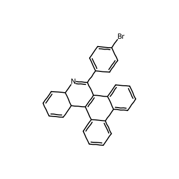 Brc1ccc(C2=NC3C=CC=CC3c3c2c2ccccc2c2ccccc32)cc1